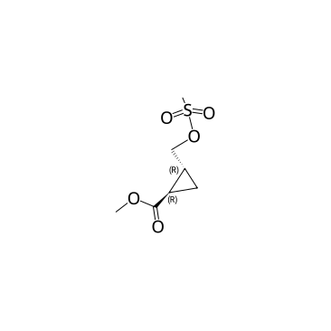 COC(=O)[C@@H]1C[C@H]1COS(C)(=O)=O